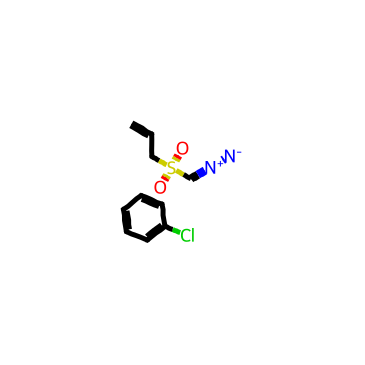 C=CCS(=O)(=O)C=[N+]=[N-].Clc1ccccc1